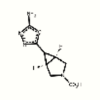 Nc1nnc(C2[C@H]3CN(C(=O)O)C[C@@H]23)o1